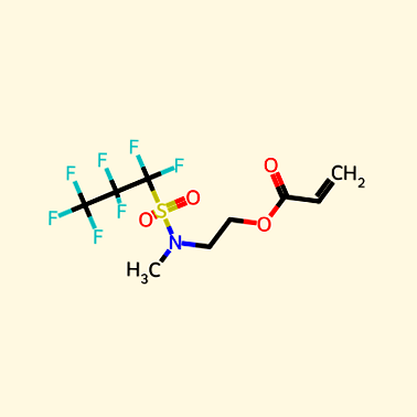 C=CC(=O)OCCN(C)S(=O)(=O)C(F)(F)C(F)(F)C(F)(F)F